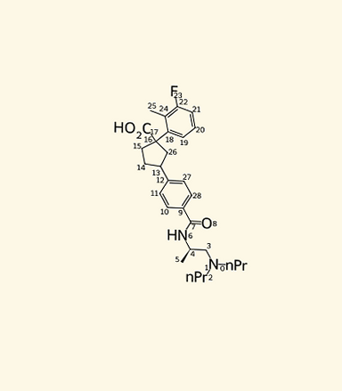 CCCN(CCC)C[C@@H](C)NC(=O)c1ccc(C2CCC(C(=O)O)(c3cccc(F)c3C)C2)cc1